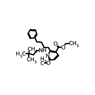 CCOC(=O)c1ccc(OC)nc1CC(CCc1ccccc1)NCCC(C)(C)C